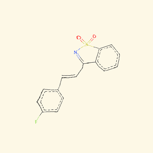 O=S1(=O)N=C(C=Cc2ccc(F)cc2)c2ccccc21